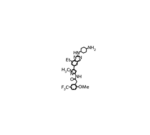 CCc1cc(-c2cc(NC(=O)Cc3cc(C(F)(F)F)ccc3OC)nn2C)cc2cnc(NC3CCC(N)CC3)nc12